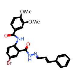 COc1ccc(C(=O)Nc2ccc(Br)cc2C(=O)NN=CC=Cc2ccccc2)cc1OC